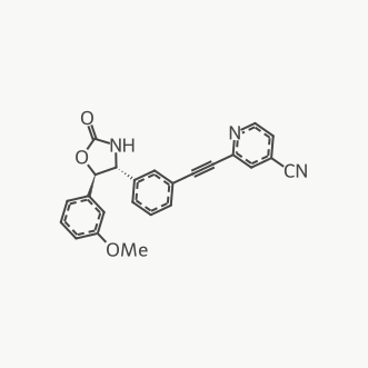 COc1cccc([C@H]2OC(=O)N[C@@H]2c2cccc(C#Cc3cc(C#N)ccn3)c2)c1